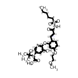 CCCCCS(=O)(=O)NC(=O)/C=C/c1ccc(OCCOC)cc1Oc1ncc(N(C(=O)O)C(C)(C)C)cc1C